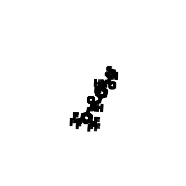 O=C(Cc1ccc(NC(=O)c2cscn2)nc1)NCc1cc(C(F)(F)F)cc(C(F)(F)F)c1